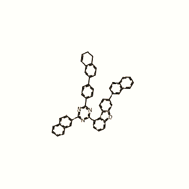 C1=Cc2cc(-c3ccc(-c4nc(-c5ccc6ccccc6c5)nc(-c5cccc6oc7cc(-c8ccc9ccccc9c8)ccc7c56)n4)cc3)ccc2CC1